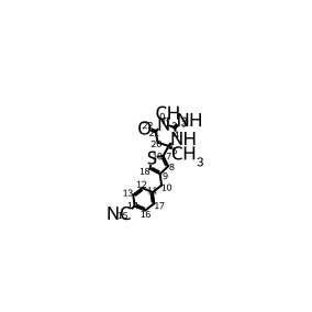 CN1C(=N)NC(C)(c2cc(Cc3ccc(C#N)cc3)cs2)CC1=O